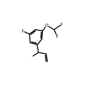 [CH2]C(C=C)c1cc(F)cc(OC(F)F)c1